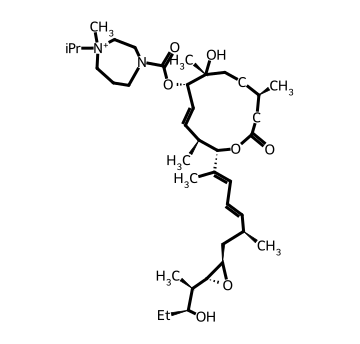 CC[C@H](O)[C@@H](C)[C@H]1O[C@@H]1C[C@H](C)/C=C/C=C(\C)[C@H]1OC(=O)C[C@H](C)CC[C@@](C)(O)[C@@H](OC(=O)N2CCC[N+](C)(C(C)C)CC2)/C=C/[C@@H]1C